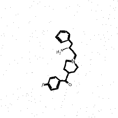 N[C@@H](Cc1ccccc1)CN1CCC(C(=O)c2ccc(F)cc2)CC1